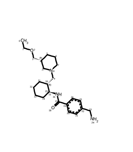 CCOC[C@@H]1CCCN(C[C@H]2CCCC[C@@H]2NC(=O)c2ccc(CN)cc2)C1